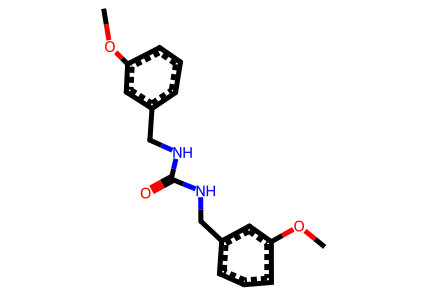 COc1cccc(CNC(=O)NCc2cccc(OC)c2)c1